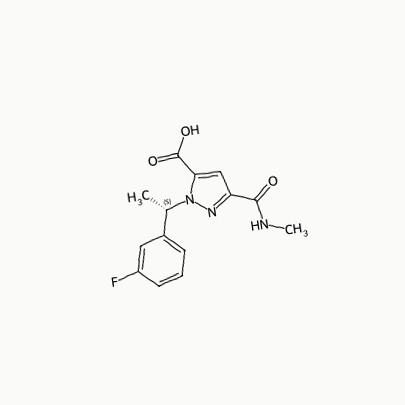 CNC(=O)c1cc(C(=O)O)n([C@@H](C)c2cccc(F)c2)n1